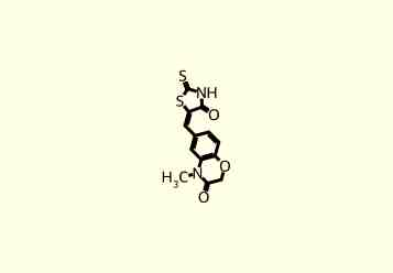 CN1C(=O)COc2ccc(C=C3SC(=S)NC3=O)cc21